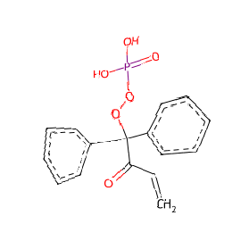 C=CC(=O)C(OOP(=O)(O)O)(c1ccccc1)c1ccccc1